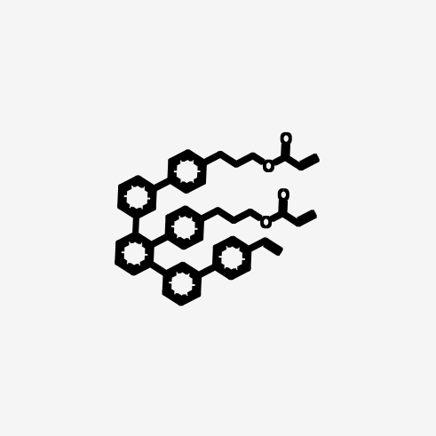 C=CC(=O)OCCCc1ccc(-c2cccc(-c3cccc(-c4cccc(-c5ccc(C=C)cc5)c4)c3-c3ccc(CCCOC(=O)C=C)cc3)c2)cc1